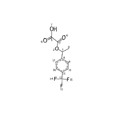 CC(OC(=O)C(=O)O)c1ccc(C(F)(F)F)cc1